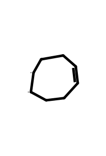 [CH]1[CH]CC/C=C\CC1